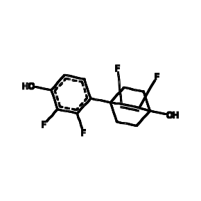 Oc1ccc(C23CCC(O)(CC2)C(F)=C3F)c(F)c1F